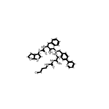 CC(C)(C)C(NC(=O)NCCCCl)C(=O)NN(Cc1ccc(-c2ccccn2)cc1)CC(O)C(Cc1ccccc1)NC(=O)OC1COC2OCCC12